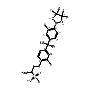 CCC(CC)(c1ccc(CCC(C(C)(C)C)S(C)(=O)=O)c(C)c1)c1ccc(B2OC(C)(C)C(C)(C)O2)c(C)c1